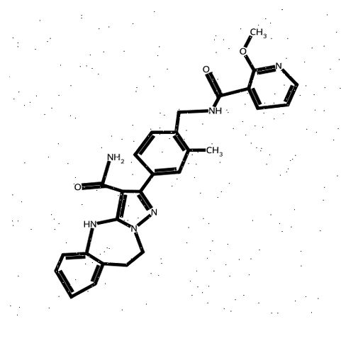 COc1ncccc1C(=O)NCc1ccc(-c2nn3c(c2C(N)=O)Nc2ccccc2CC3)cc1C